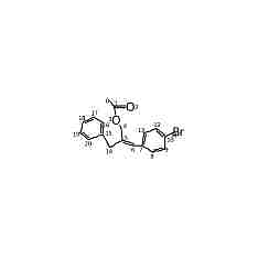 CC(=O)OCC(=Cc1ccc(Br)cc1)Cc1ccccc1